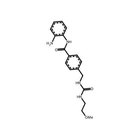 COCCNC(=O)NCc1ccc(C(=O)Nc2ccccc2N)cc1